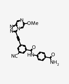 COc1cn2c(C#Cc3cc(C#N)cc(C(=O)Nc4ccc(C(N)=O)cc4)c3)nnc2cn1